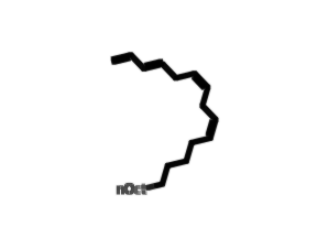 C=CC=CC/C=C\C/C=C\CCCCCCCCCCCC